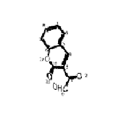 O=CC(=O)c1cc2ccccc2oc1=O